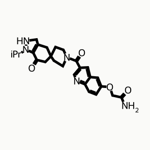 CC(C)N1NCC2=C1C(=O)CC1(CCN(C(=O)c3cnc4ccc(OCC(N)=O)cc4c3)CC1)C2